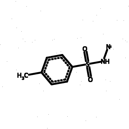 Cc1ccc(S(=O)(=O)N[N])cc1